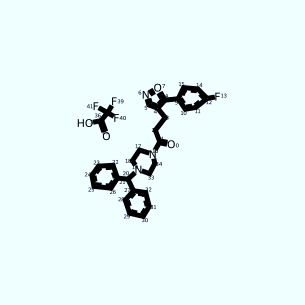 O=C(CCc1cnoc1-c1ccc(F)cc1)N1CCN(C(c2ccccc2)c2ccccc2)CC1.O=C(O)C(F)(F)F